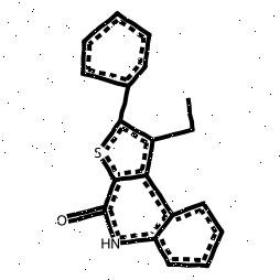 CCc1c(-c2ccccc2)sc2c(=O)[nH]c3ccccc3c12